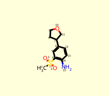 CS(=O)(=O)c1cc(C2CCOC2)ccc1N